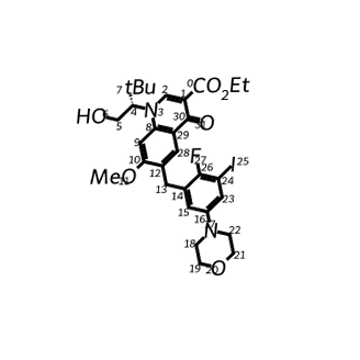 CCOC(=O)c1cn([C@H](CO)C(C)(C)C)c2cc(OC)c(Cc3cc(N4CCOCC4)cc(I)c3F)cc2c1=O